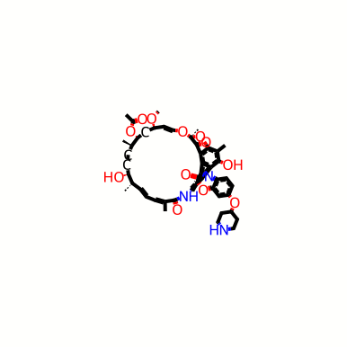 CO[C@H]1/C=C/O[C@@]2(C)Oc3c(C)c(O)c4c(=O)c(c5oc6cc(OC7CCNCC7)ccc6nc-5c4c3C2=O)NC(=O)/C(C)=C\C=C\[C@H](C)[C@H](O)CC[C@@H](C)[C@H](OC(C)=O)C1